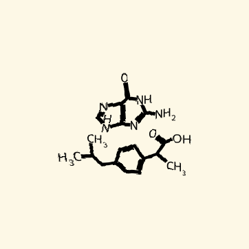 CC(C)Cc1ccc(C(C)C(=O)O)cc1.Nc1nc2[nH]cnc2c(=O)[nH]1